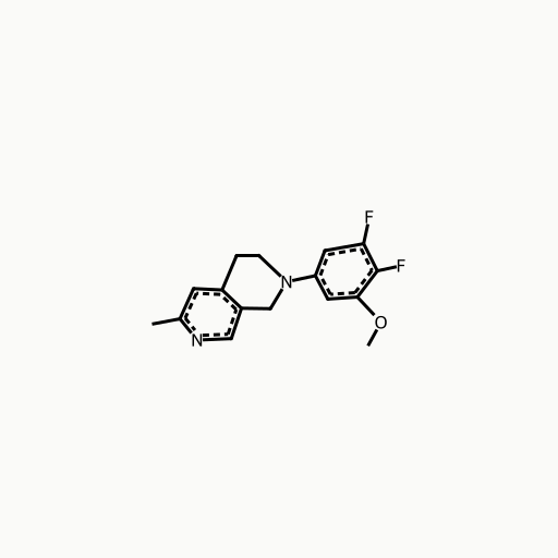 COc1cc(N2CCc3cc(C)ncc3C2)cc(F)c1F